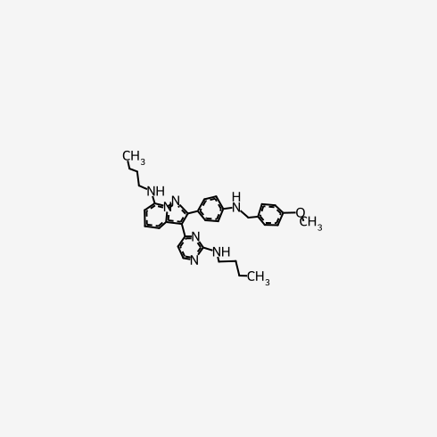 CCCCNc1nccc(-c2c(-c3ccc(NCc4ccc(OC)cc4)cc3)nn3c(NCCCC)cccc23)n1